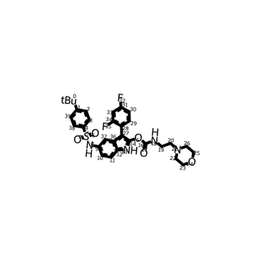 CC(C)(C)c1ccc(S(=O)(=O)Nc2ccc3[nH]c(OC(=O)NCCN4CCOCC4)c(-c4ccc(F)cc4F)c3c2)cc1